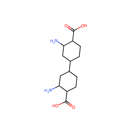 NC1CC(C2CCC(C(=O)O)C(N)C2)CCC1C(=O)O